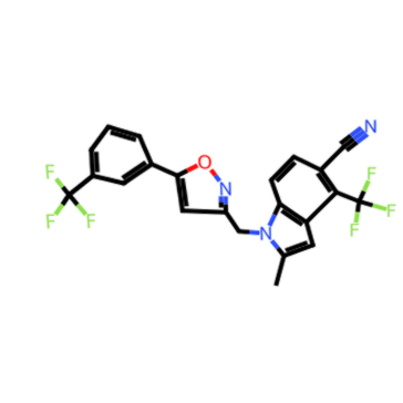 Cc1cc2c(C(F)(F)F)c(C#N)ccc2n1Cc1cc(-c2cccc(C(F)(F)F)c2)on1